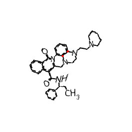 CC[C@H](NC(=O)c1c(CN2CCN(CCN3CCCCC3)CC2)n(-c2ccccc2)c(=O)c2ccccc12)c1ccccc1